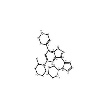 CC1COCCN1c1cc(C2=CCOCC2)c2snc(-c3ccnn3C3CCCCO3)c2n1